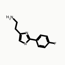 NCCC1=C[N]C(c2ccc(F)cc2)=N1